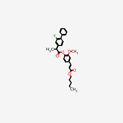 CCCCCOC(=O)/C=C/c1ccc(OC(=O)C(C)c2ccc(-c3ccccc3)c(F)c2)c(OC)c1